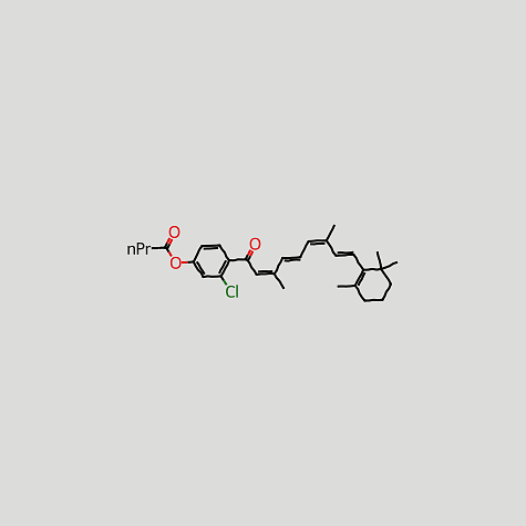 CCCC(=O)Oc1ccc(C(=O)C=C(C)C=CC=C(C)C=CC2=C(C)CCCC2(C)C)c(Cl)c1